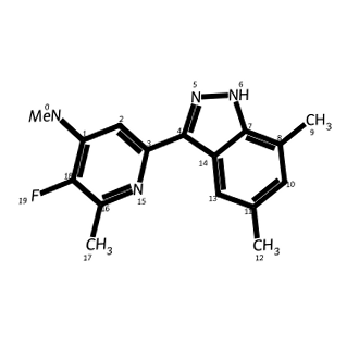 CNc1cc(-c2n[nH]c3c(C)cc(C)cc23)nc(C)c1F